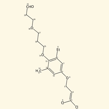 CCc1cc(OCC=C(Cl)Cl)cc(C)c1OCCCOCCC=O